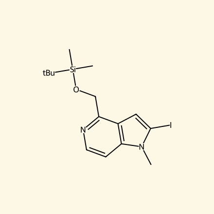 Cn1c(I)cc2c(CO[Si](C)(C)C(C)(C)C)nccc21